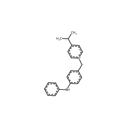 CC(C)c1cc[n+](Cc2ccc(Bc3ccccc3)cc2)cc1